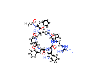 CC(=O)N[C@@H](Cc1ccccc1)C(=O)N[C@H]1CCNC(=O)[C@H](C2(CCCNC(=N)N)CCC2)NC(=O)[C@H](Cc2c[nH]c3ccccc23)NC(=O)[C@@H](CC2CCCCC2)NC(=O)[C@@H]2CCCN2C1=O